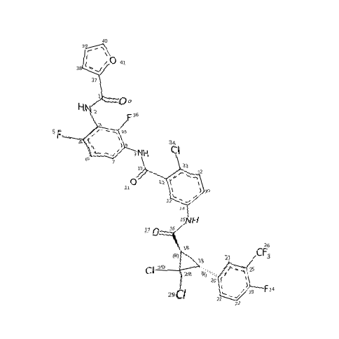 O=C(Nc1c(F)ccc(NC(=O)c2cc(NC(=O)[C@H]3[C@H](c4ccc(F)c(C(F)(F)F)c4)C3(Cl)Cl)ccc2Cl)c1F)c1ccco1